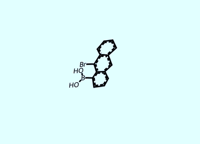 OB(O)c1cccc2cc3ccccc3c(Br)c12